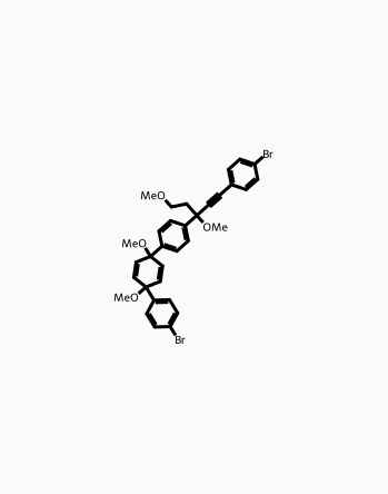 COCCC(C#Cc1ccc(Br)cc1)(OC)c1ccc(C2(OC)C=CC(OC)(c3ccc(Br)cc3)C=C2)cc1